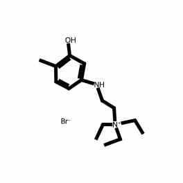 CC[N+](CC)(CC)CCNc1ccc(C)c(O)c1.[Br-]